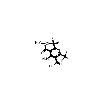 COC(=O)c1c(C(F)(F)Cl)nc(C(F)(F)F)c(C(=O)O)c1N